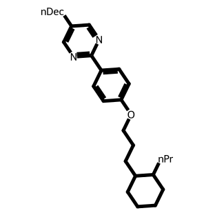 CCCCCCCCCCc1cnc(-c2ccc(OCCCC3CCCCC3CCC)cc2)nc1